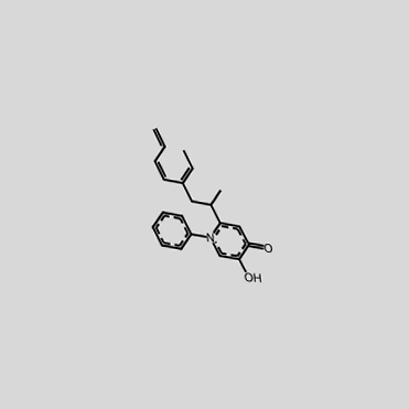 C=C/C=C\C(=C/C)CC(C)c1cc(=O)c(O)cn1-c1ccccc1